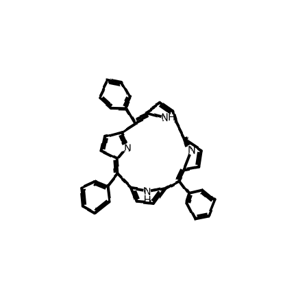 C1=C/C2=C(\c3ccccc3)c3ccc([nH]3)/C(c3ccccc3)=C3/C=CC(=N3)C3C=C/C(=C(\c4ccccc4)C1=N2)N3